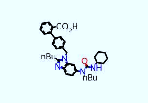 CCCCc1nc2ccc(N(CCCC)C(=O)NC3CCCCC3)cc2n1Cc1ccc(-c2ccccc2C(=O)O)cc1